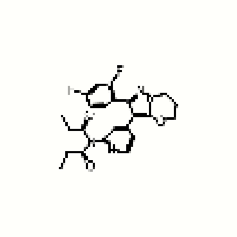 CCC(=O)N(C(=O)CC)c1cc(-c2c(-c3ccc(F)cc3F)nn3c2OCCC3)ccn1